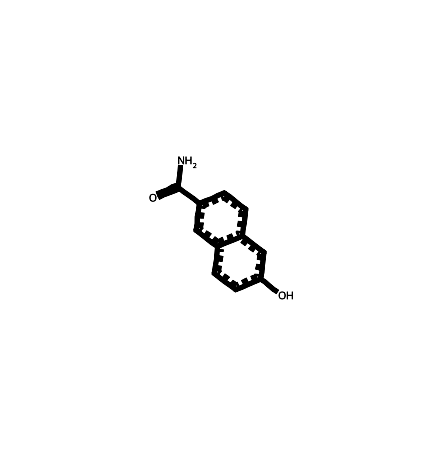 NC(=O)c1ccc2cc(O)ccc2c1